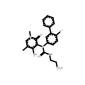 Cc1cn(C)c(=O)c(N(C(=O)NCCC(=O)O)c2ccc(F)c(-c3ccccc3)c2)c1O